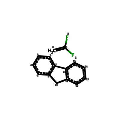 C=C(F)F.c1ccc2c(c1)Cc1ccccc1-2